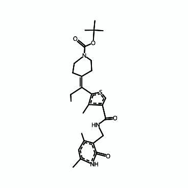 CCC(=C1CCN(C(=O)OC(C)(C)C)CC1)c1scc(C(=O)NCc2c(C)cc(C)[nH]c2=O)c1C